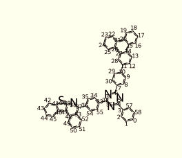 c1ccc(-c2nc(-c3ccc(-c4ccc5c6ccccc6c6ccccc6c5c4)cc3)nc(-c3ccc(-c4nc5sc6ccccc6c5c5ccccc45)cc3)n2)cc1